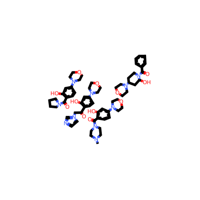 CN1CCN(C(=O)c2ccc(N3CCOCC3)cc2O)CC1.O=C(Cn1ccnc1)c1ccc(N2CCOCC2)cc1O.O=C(c1ccc(N2CCOCC2)cc1O)N1CCCC1.O=C(c1ccccc1)N1CCC(N2CCOCC2)CC1O